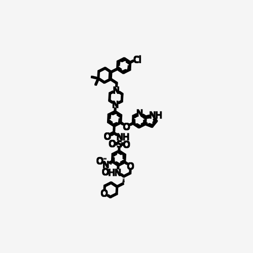 CC1(C)CCC(c2ccc(Cl)cc2)=C(CN2CCN(c3ccc(C(=O)NS(=O)(=O)c4cc5c(c([N+](=O)[O-])c4)N[C@@H](CC4CCOCC4)CO5)c(Oc4cnc5[nH]ccc5c4)c3)CC2)C1